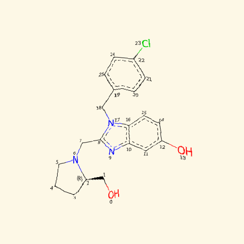 OC[C@H]1CCCN1Cc1nc2cc(O)ccc2n1Cc1ccc(Cl)cc1